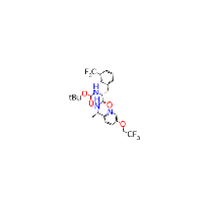 C[C@@H](NC(=O)[C@@H](Cc1cccc(C(F)(F)F)c1)NC(=O)OC(C)(C)C)c1ccc(OCC(F)(F)F)cn1